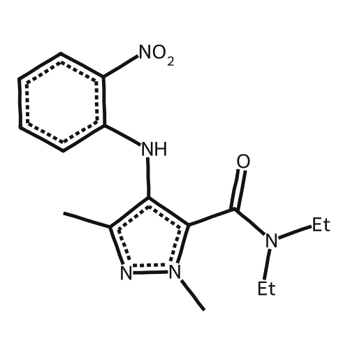 CCN(CC)C(=O)c1c(Nc2ccccc2[N+](=O)[O-])c(C)nn1C